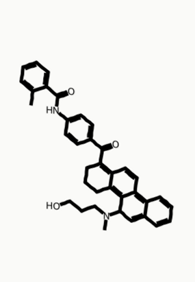 Cc1ccccc1C(=O)Nc1ccc(C(=O)C2=c3ccc4c(c3CCC2)C(N(C)CCCO)C=c2ccccc2=4)cc1